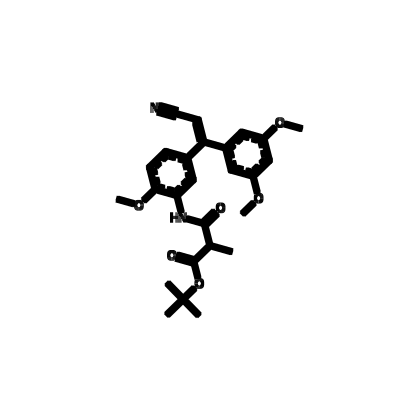 COc1cc(OC)cc(C(=CC#N)c2ccc(OC)c(NC(=O)C(C)C(=O)OC(C)(C)C)c2)c1